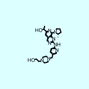 CC(O)c1cc2cnc(Nc3ccc(CN4CCN(CCO)CC4)cn3)nc2c(N2CCC[C@@H]2C)n1